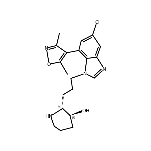 Cc1noc(C)c1-c1cc(Cl)cc2ncn(CCC[C@H]3NCCC[C@@H]3O)c12